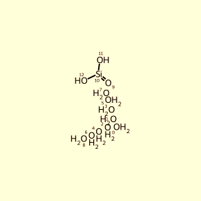 O.O.O.O.O.O.O.O.O.O=[Si](O)O